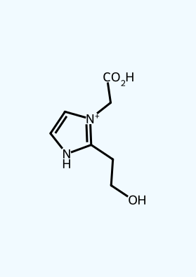 O=C(O)C[n+]1cc[nH]c1CCO